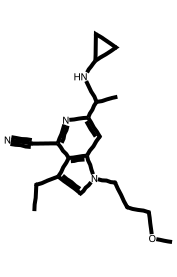 CCc1cn(CCCOC)c2cc(C(C)NC3CC3)nc(C#N)c12